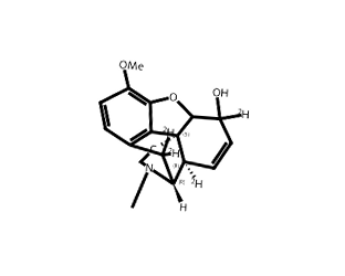 [2H]C1(O)C=C[C@@]2([2H])[C@@H]3N(C)CC[C@@]24c2c(ccc(OC)c2OC14)C3([2H])[2H]